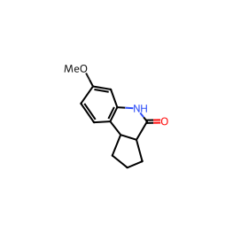 COc1ccc2c(c1)NC(=O)C1CCCC21